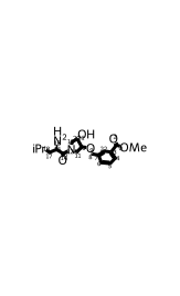 COC(=O)c1cccc(COC2CN(C(=O)[C@H](N)CC(C)C)CC2O)c1